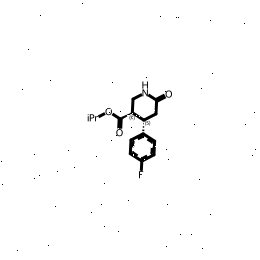 CC(C)OC(=O)[C@H]1CNC(=O)C[C@@H]1c1ccc(F)cc1